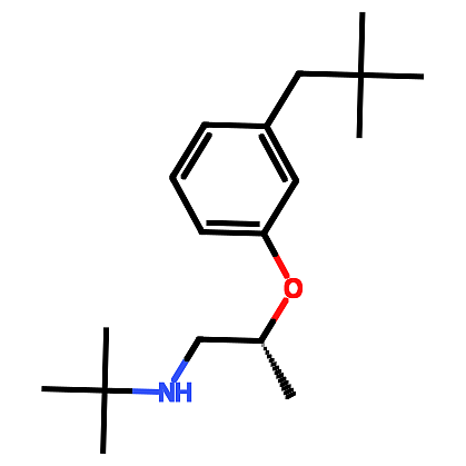 C[C@H](CNC(C)(C)C)Oc1cccc(CC(C)(C)C)c1